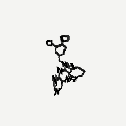 Clc1ccc(CNC2=Nc3ncncc3NC23CCCCC3)cc1Cl